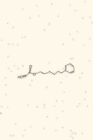 C#CC(=O)OCCCCCCc1ccccc1